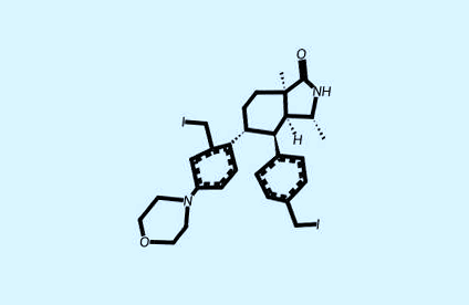 C[C@H]1NC(=O)[C@]2(C)CC[C@@H](c3ccc(N4CCOCC4)cc3CI)[C@H](c3ccc(CI)cc3)[C@H]12